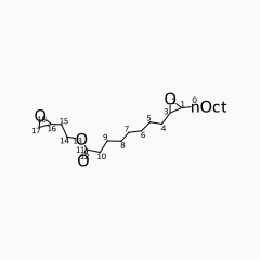 CCCCCCCCC1OC1CCCCCCCC(=O)OCCC1CO1